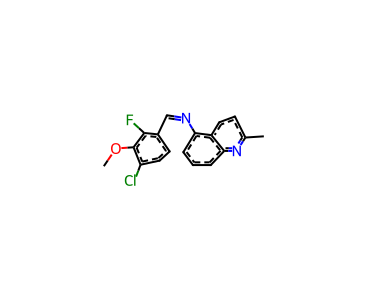 COc1c(Cl)ccc(/C=N\c2cccc3nc(C)ccc23)c1F